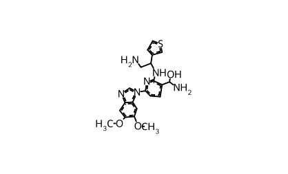 COc1cc2ncn(-c3ccc(C(N)O)c(NC(CN)c4ccsc4)n3)c2cc1OC